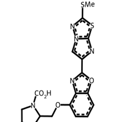 CSc1nn2cc(-c3nc4c(OCC5CCCN5C(=O)O)cccc4o3)nc2s1